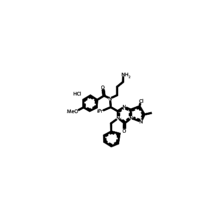 COc1ccc(C(=O)N(CCCN)C(c2nc3c(Cl)c(C)nn3c(=O)n2Cc2ccccc2)C(C)C)cc1.Cl